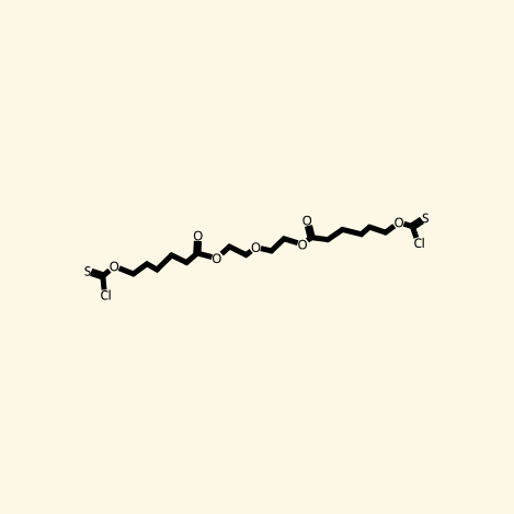 O=C(CCCCCOC(=S)Cl)OCCOCCOC(=O)CCCCCOC(=S)Cl